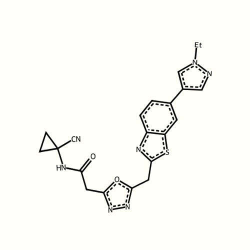 CCn1cc(-c2ccc3nc(Cc4nnc(CC(=O)NC5(C#N)CC5)o4)sc3c2)cn1